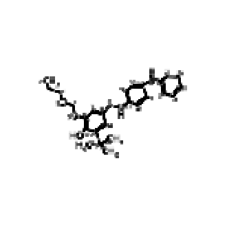 CCCOCOc1cc(CNc2ccc(Nc3ccccc3)cc2)cc(C(C)(C)C)c1O